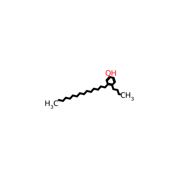 CCCCCCCCCCCCCCCc1cc(O)ccc1CCCC